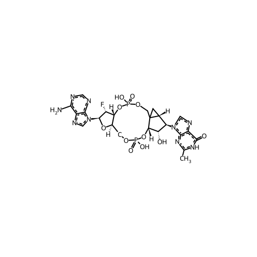 Cc1nc2c(ncn2[C@H]2[C@H](O)[C@@H]3OP(=O)(O)OC[C@H]4O[C@@H](n5cnc6c(N)ncnc65)[C@H](F)[C@@H]4OP(=O)(O)OCC34C[C@H]24)c(=O)[nH]1